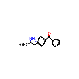 NC([C]=O)Cc1ccc(C(=O)c2ccccc2)cc1